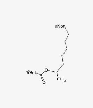 CCCCCCCCCCCCCCC(C)OC(=O)CCCCC